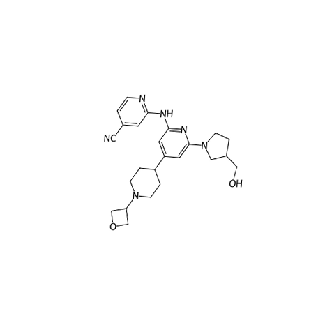 N#Cc1ccnc(Nc2cc(C3CCN(C4COC4)CC3)cc(N3CCC(CO)C3)n2)c1